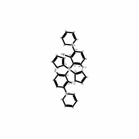 Fc1ccc(N2C=CC=CC2)c(F)[c]1[Ti]([C]1=CC=CC1)([C]1=CC=CC1)[c]1c(F)ccc(N2C=CC=CC2)c1F